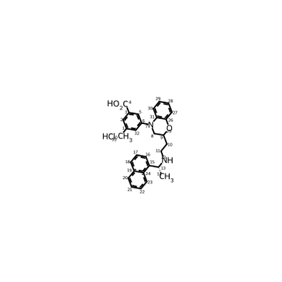 Cc1cc(C(=O)O)cc(N2CC(CCN[C@H](C)c3cccc4ccccc34)Oc3ccccc32)c1.Cl